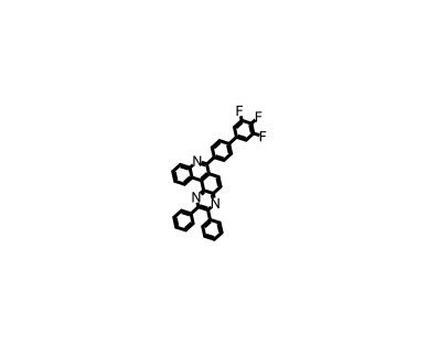 Fc1cc(-c2ccc(-c3nc4ccccc4c4c3ccc3nc(-c5ccccc5)c(-c5ccccc5)nc34)cc2)cc(F)c1F